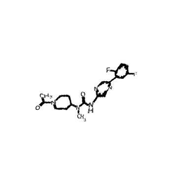 CC(=O)N1CCC(N(C)C(=O)Nc2cnc(-c3cc(F)ccc3F)cn2)CC1